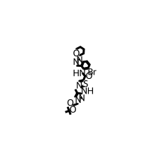 Cc1cn(CC(=O)OC(C)(C)C)nc1Nc1ncc(C(=O)Nc2c(Br)ccc3c2cnn3C2CCCCO2)s1